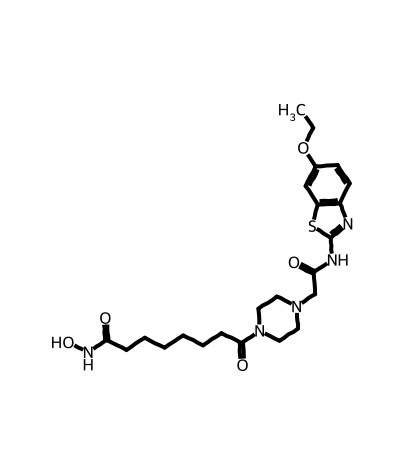 CCOc1ccc2nc(NC(=O)CN3CCN(C(=O)CCCCCCC(=O)NO)CC3)sc2c1